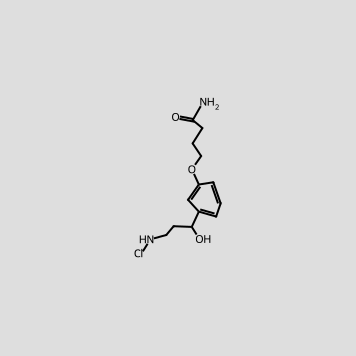 NC(=O)CCCOc1cccc(C(O)CCNCl)c1